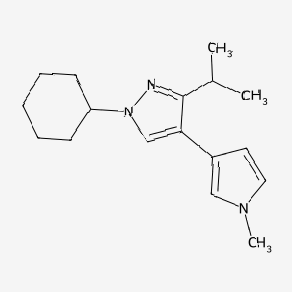 CC(C)c1nn(C2CCCCC2)cc1-c1ccn(C)c1